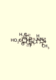 Cc1cc(N[C@H]2CCN(c3c(F)cc4c(=O)c(C(=O)O)cn5c4c3OC[C@@H]5C)C2)ncn1